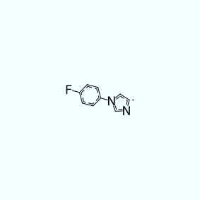 Fc1ccc(-n2c[c]nc2)cc1